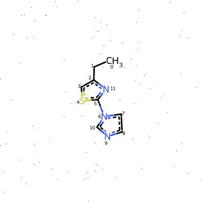 CCc1csc(-n2ccnc2)n1